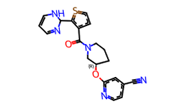 N#Cc1ccnc(O[C@@H]2CCCN(C(=O)c3ccsc3C3N=CC=CN3)C2)c1